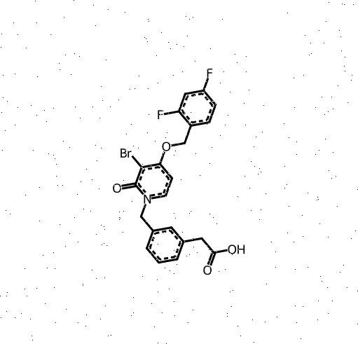 O=C(O)Cc1cccc(Cn2ccc(OCc3ccc(F)cc3F)c(Br)c2=O)c1